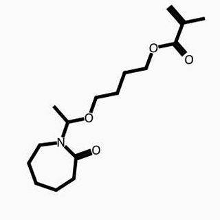 C=C(C)C(=O)OCCCCOC(C)N1CCCCCC1=O